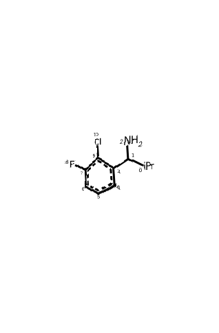 CC(C)C(N)c1cccc(F)c1Cl